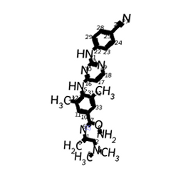 C=C(CN(C)C)/N=C(\ON)c1cc(C)c(Nc2ccnc(Nc3ccc(C#N)cc3)n2)c(C)c1